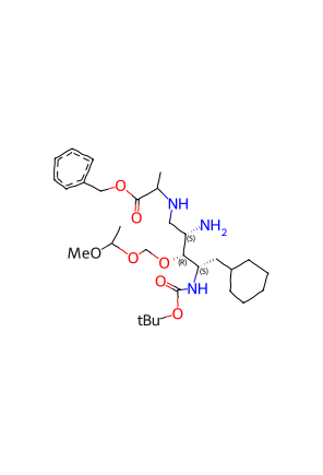 COC(C)OCO[C@@H]([C@H](CC1CCCCC1)NC(=O)OC(C)(C)C)[C@@H](N)CNC(C)C(=O)OCc1ccccc1